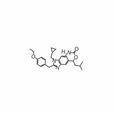 CCOc1ccc(Cc2nc3cc(C(CC(C)C)OC(N)=O)ccc3n2CC2CC2)cc1